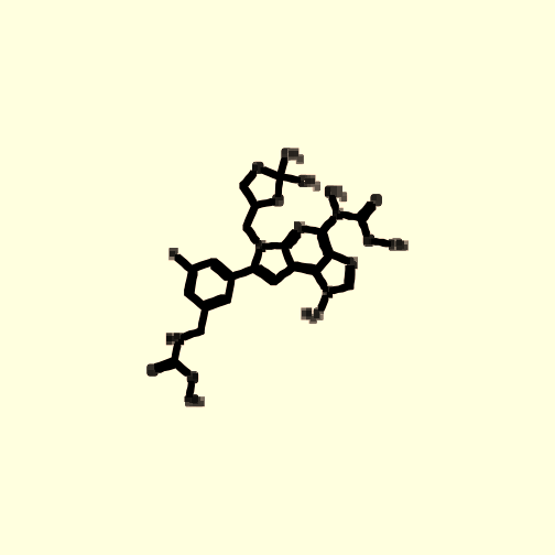 CN(C(=O)OC(C)(C)C)c1nc2c(cc(-c3cc(F)cc(CNC(=O)OC(C)(C)C)c3)n2CC2COC(C)(C)O2)c2c1ncn2C